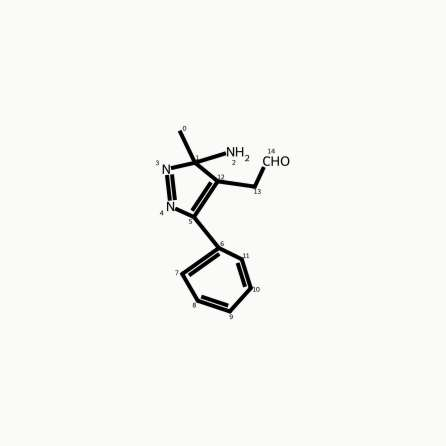 CC1(N)N=NC(c2ccccc2)=C1CC=O